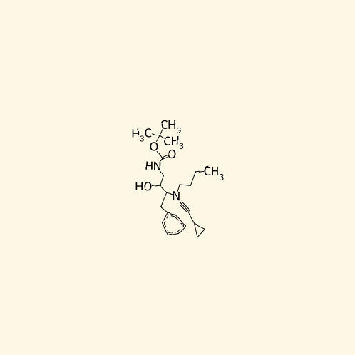 CCCCN(C#CC1CC1)C(Cc1ccccc1)C(O)CNC(=O)OC(C)(C)C